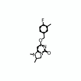 Cc1cc(COc2cc3n(c(=O)n2)CC(C)N3C)ccc1F